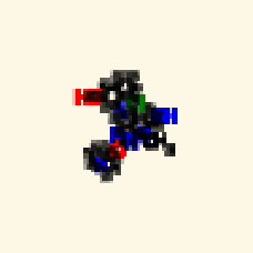 CN(c1nc(OCC23CCCN2CCC3)nc2c1CCN(c1cc(O)cc3cccc(Cl)c13)C2)C1CCNC1